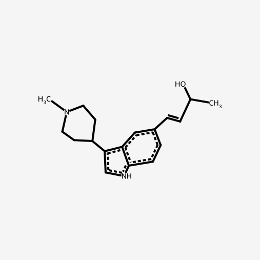 CC(O)C=Cc1ccc2[nH]cc(C3CCN(C)CC3)c2c1